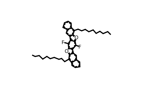 CCCCCCCCCCc1c2ccccc2cc2c1oc1c(F)c3c(oc4c(CCCCCCCCCC)c5ccccc5cc43)c(F)c12